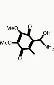 COC1=C(OC)C(=O)C(C(N)O)=C(C)C1=O